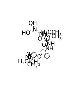 CC(C)(C)c1cc(NC(=O)N[C@H]2CC[C@@H](Oc3ccc4nnc(C(C)(C)C)n4c3)c3ccccc32)nc(C(=O)NCCN(CCO)CCO)n1